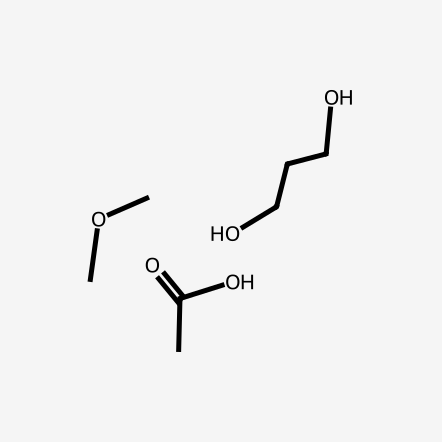 CC(=O)O.COC.OCCCO